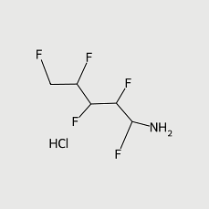 Cl.NC(F)C(F)C(F)C(F)CF